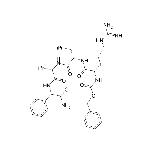 CC(C)C[C@H](NC(=O)[C@H](CCCNC(=N)N)NC(=O)OCc1ccccc1)C(=O)N[C@H](C(=O)N[C@H](C(N)=O)c1ccccc1)C(C)C